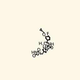 C[C@@H](NS(=O)(=O)Cn1cc(CN2CC(=O)NC2=O)cn1)c1ccc(F)c(OCC2CC2)c1